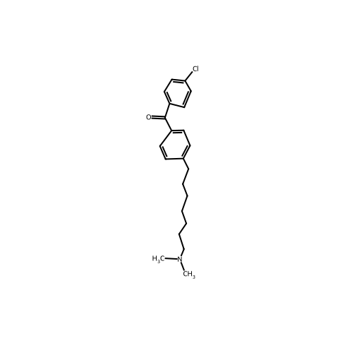 CN(C)CCCCCCCc1ccc(C(=O)c2ccc(Cl)cc2)cc1